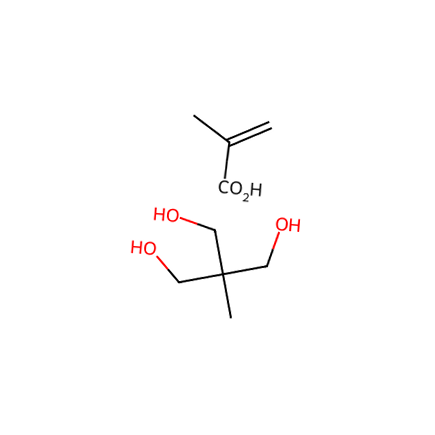 C=C(C)C(=O)O.CC(CO)(CO)CO